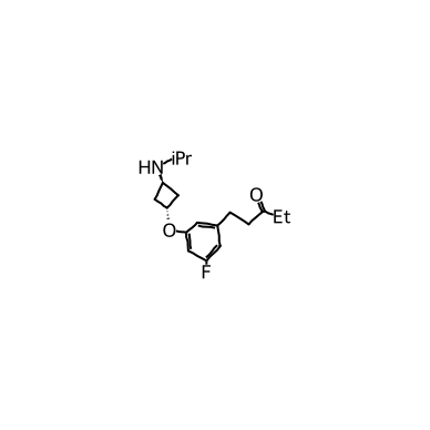 CCC(=O)CCc1cc(F)cc(O[C@H]2C[C@H](NC(C)C)C2)c1